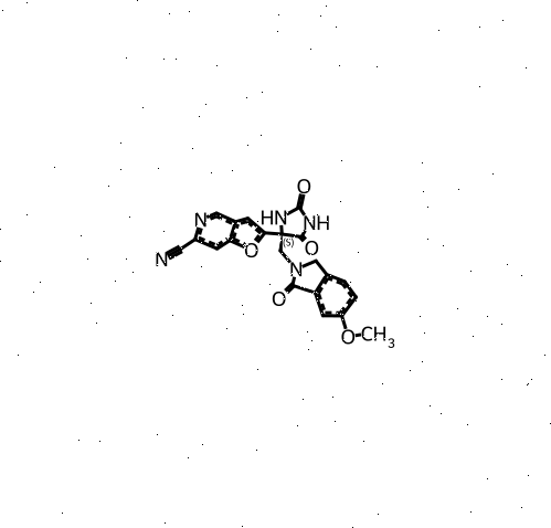 COc1ccc2c(c1)C(=O)N(C[C@@]1(c3cc4cnc(C#N)cc4o3)NC(=O)NC1=O)C2